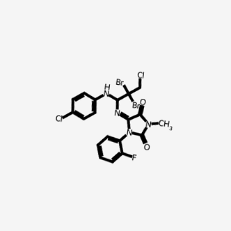 CN1C(=O)C(=NC(Nc2ccc(Cl)cc2)C(Br)(Br)CCl)N(c2ccccc2F)C1=O